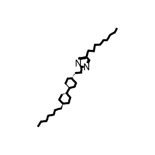 CCCCCCCCCc1cnc(CC[C@H]2CC[C@H]([C@H]3CC[C@H](CCCCCCC)CC3)CC2)nc1